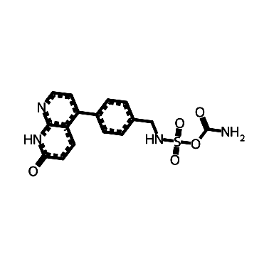 NC(=O)OS(=O)(=O)NCc1ccc(-c2ccnc3[nH]c(=O)ccc23)cc1